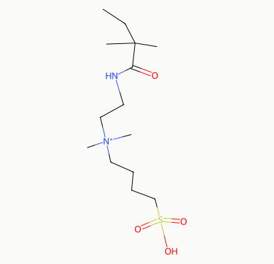 CCC(C)(C)C(=O)NCC[N+](C)(C)CCCCS(=O)(=O)O